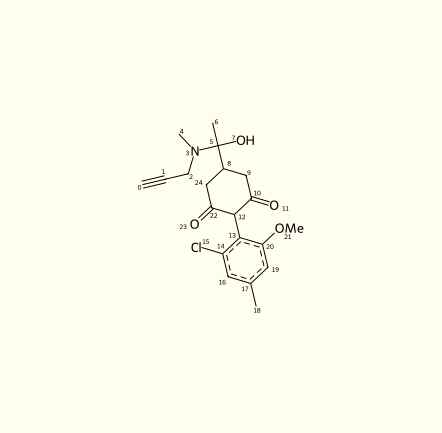 C#CCN(C)C(C)(O)C1CC(=O)C(c2c(Cl)cc(C)cc2OC)C(=O)C1